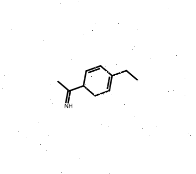 CCC1=CCC(C(C)=N)C=C1